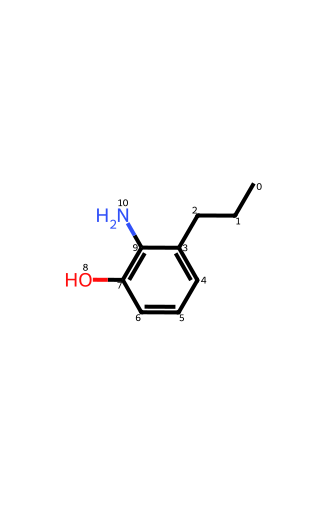 CCCc1cccc(O)c1N